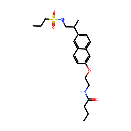 CCCC(=O)NCCOc1ccc2cc(C(C)CNS(=O)(=O)CCC)ccc2c1